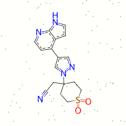 N#CCC1(n2cc(-c3ccnc4[nH]ccc34)cn2)CCS(=O)(=O)CC1